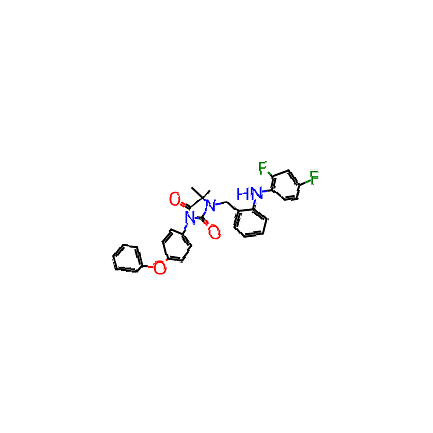 CC1(C)C(=O)N(c2ccc(Oc3ccccc3)cc2)C(=O)N1Cc1ccccc1Nc1ccc(F)cc1F